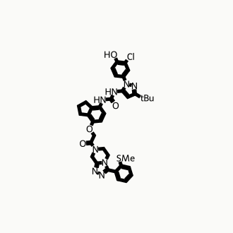 CSc1ccccc1-c1nnc2n1CCN(C(=O)COc1ccc(NC(=O)Nc3cc(C(C)(C)C)nn3-c3ccc(O)c(Cl)c3)c3c1CCC3)C2